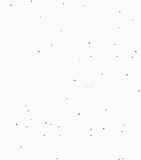 COC(=O)c1cc(-n2cnc(C)c2)c(N)cc1F